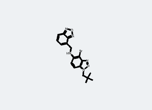 CC(C)(C)Cn1nnc2c(Br)c(NCc3cccc4nonc34)ccc21